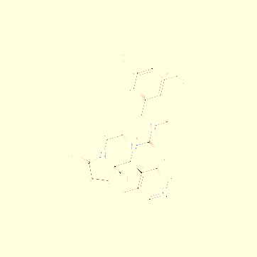 Cc1cnccc1[C@H]1[C@@H]2CCC(=O)N2CCN1C(=O)N(C)[C@H](C)c1cc(C(F)(F)F)cc(C(F)(F)F)c1